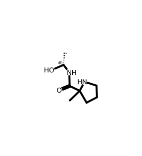 [CH2][C@@H](O)NC(=O)C1(C)CCCN1